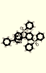 O=P(c1ccccc1)(c1ccccc1)c1ccc(P(=O)(c2ccccc2)c2ccccc2)c(-c2ncc(-c3ccccc3)cn2)c1